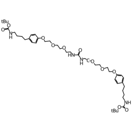 CC(C)(C)OC(=O)NCCCCc1ccc(OCCOCCOCCNC(=O)NCCOCCOCCOc2ccc(CCCCNC(=O)OC(C)(C)C)cc2)cc1